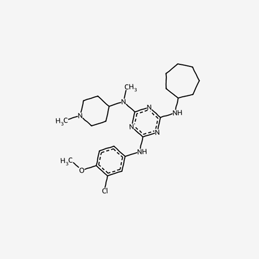 COc1ccc(Nc2nc(NC3CCCCCC3)nc(N(C)C3CCN(C)CC3)n2)cc1Cl